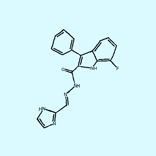 O=C(NN=Cc1ncc[nH]1)c1[nH]c2c(F)cccc2c1-c1ccccc1